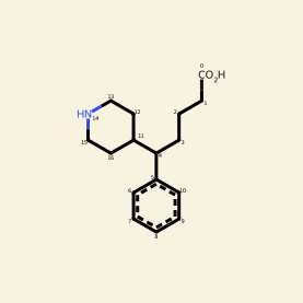 O=C(O)CCCC(c1ccccc1)C1CCNCC1